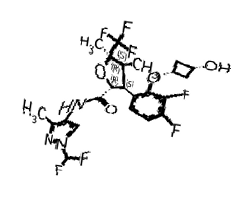 Cc1nn(C(F)F)cc1NC(=O)[C@@H]1O[C@@](C)(C(F)(F)F)[C@@H](C)[C@H]1c1ccc(F)c(F)c1O[C@H]1C[C@@H](O)C1